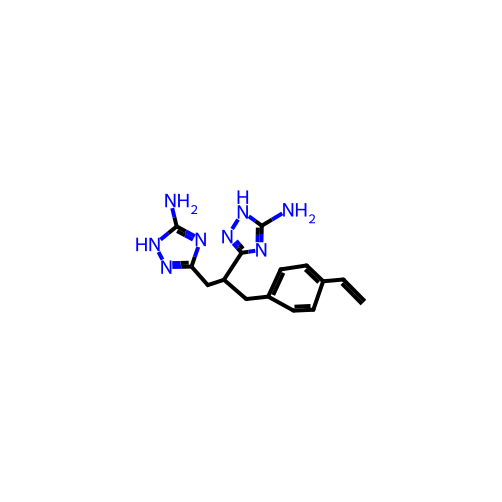 C=Cc1ccc(CC(Cc2n[nH]c(N)n2)c2n[nH]c(N)n2)cc1